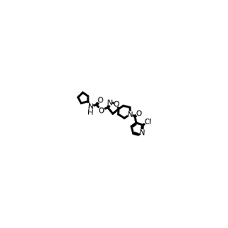 O=C(NC1CCCC1)OC1=NOC2(CCN(C(=O)c3cccnc3Cl)CC2)C1